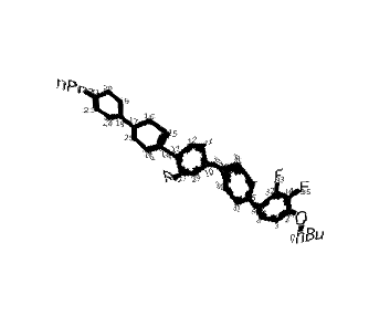 CCCCOc1ccc(-c2ccc(-c3ccc(C4=CCC(C5CCC(CCC)CC5)CC4)c(F)c3)cc2)c(F)c1F